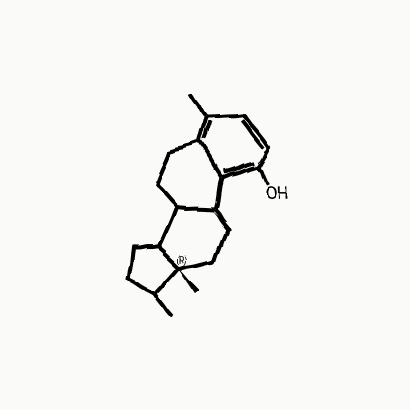 Cc1ccc(O)c2c1CCC1C2CC[C@]2(C)C(C)CCC12